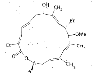 CC/C1=C\C=C\C[C@H](O)/C(C)=C/[C@H](CC)[C@@H](OC)/C(C)=C/C(C)=C/C[C@@H](C(C)C)OC1=O